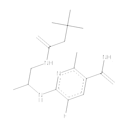 C=C(CC(C)(C)C)N[C@@H](C)C(C)Nc1nc(C)c(C(=C)N)cc1F